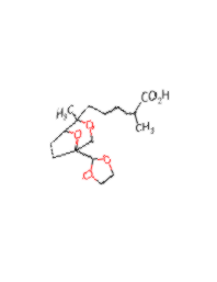 CC(CCCC1(C)OCC2(C3OCCO3)CCC1O2)C(=O)O